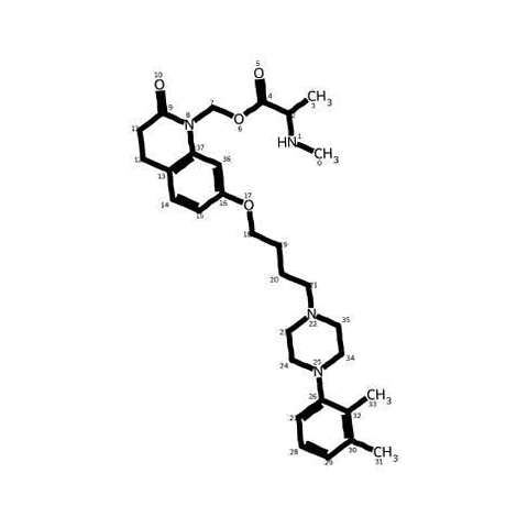 CNC(C)C(=O)OCN1C(=O)CCc2ccc(OCCCCN3CCN(c4cccc(C)c4C)CC3)cc21